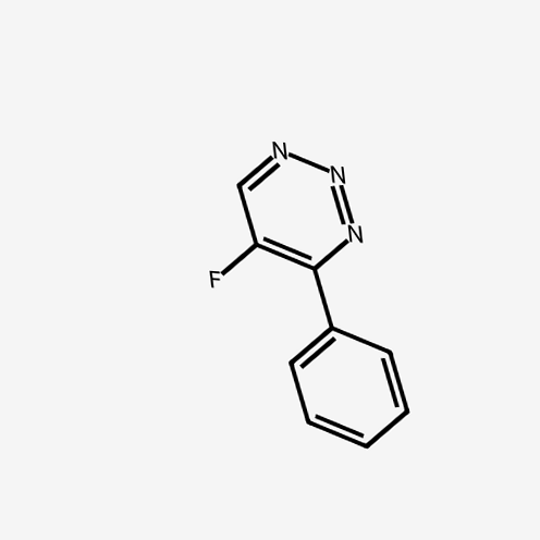 Fc1cnnnc1-c1ccccc1